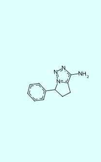 Nc1nnn2c1CCC2c1ccccc1